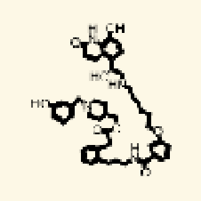 O=C(Cc1ccccc1CCCNC(=O)c1cccc(OCCCCCCNC[C@H](O)c2ccc(O)c3[nH]c(=O)ccc23)c1)OCC1CCN(Cc2cccc(O)c2)CC1